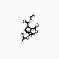 CCOC(=O)C1C2CC3C(OC(=O)C31)C2OC(C)=O